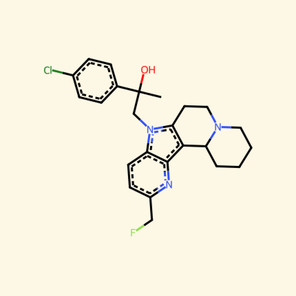 CC(O)(Cn1c2c(c3nc(CF)ccc31)C1CCCCN1CC2)c1ccc(Cl)cc1